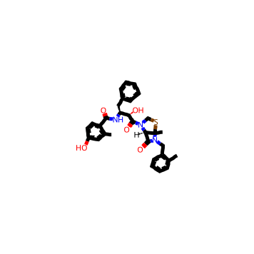 Cc1ccccc1CN1C(=O)[C@H]2N(C(=O)[C@@H](O)[C@H](Cc3ccccc3)NC(=O)c3ccc(O)cc3C)CSC21C